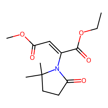 CCOC(=O)/C(=C/C(=O)OC)N1C(=O)CCC1(C)C